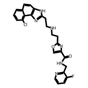 O=C(NCc1ncccc1F)c1coc(CCNCCc2nc3c(ccc4cccc(Cl)c43)[nH]2)n1